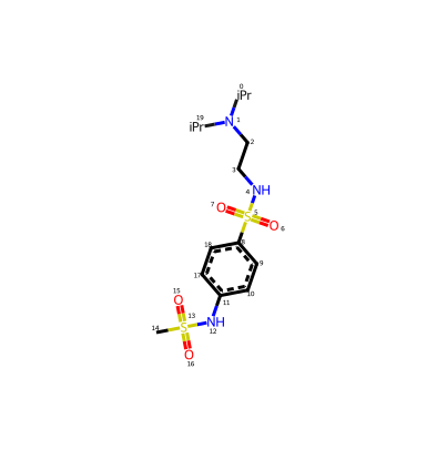 CC(C)N(CCNS(=O)(=O)c1ccc(NS(C)(=O)=O)cc1)C(C)C